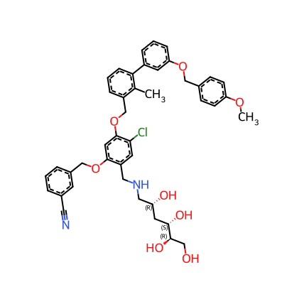 COc1ccc(COc2cccc(-c3cccc(COc4cc(OCc5cccc(C#N)c5)c(CNC[C@H](O)C[C@H](O)[C@H](O)CO)cc4Cl)c3C)c2)cc1